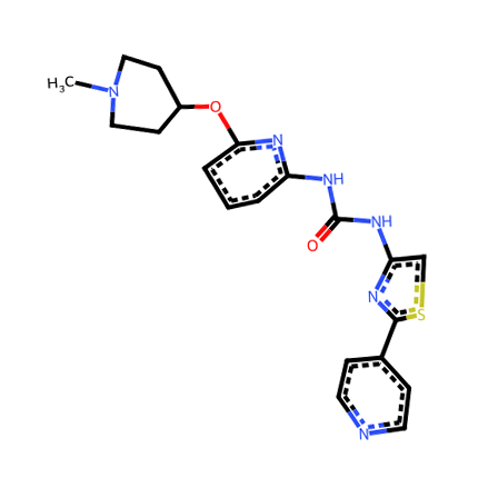 CN1CCC(Oc2cccc(NC(=O)Nc3csc(-c4ccncc4)n3)n2)CC1